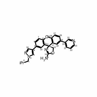 CC(C)Cn1cc(-c2ccc3c(c2)[C@]2(COC(N)=N2)c2cc(-c4cccnc4)ccc2O3)cn1